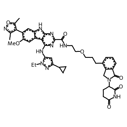 CCn1nc(C2CC2)cc1Nc1nc(C(=O)NCCOCCCc2cccc3c2CN(C2CCC(=O)NC2=O)C3=O)nc2[nH]c3cc(-c4c(C)noc4C)c(OC)cc3c12